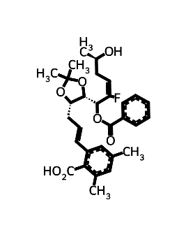 Cc1cc(C)c(C(=O)O)c(/C=C/C[C@@H]2OC(C)(C)O[C@@H]2C(OC(=O)c2ccccc2)/C(F)=C\C[C@@H](C)O)c1